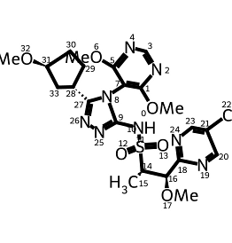 COc1ncnc(OC)c1-n1c(NS(=O)(=O)[C@@H](C)[C@H](OC)c2ncc(Cl)cn2)nnc1[C@H]1CC[C@H](OC)C1